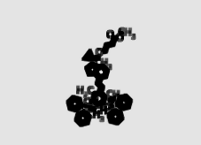 C=C1/C(=C\C=C2/CCC[C@@]3(C)C2CC[C@@H]3C2(COCCCC(=O)OC)CC2)C[C@@H](O[Si](c2ccccc2)(c2ccccc2)C(C)(C)C)C[C@@H]1O[Si](c1ccccc1)(c1ccccc1)C(C)(C)C